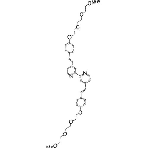 COCCOCCOCCOc1ccc(/C=C/c2ccnc(-c3cc(/C=C/c4ccc(OCCOCCOCCOC)cc4)ccn3)c2)cc1